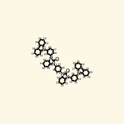 O=c1n(-c2ccc(-n3c(=O)n(-c4cccc(-n5c6ccccc6c6ccccc65)c4)c4ccccc43)cc2)c2ccccc2n1-c1cccc(-n2c3ccccc3c3ccccc32)c1